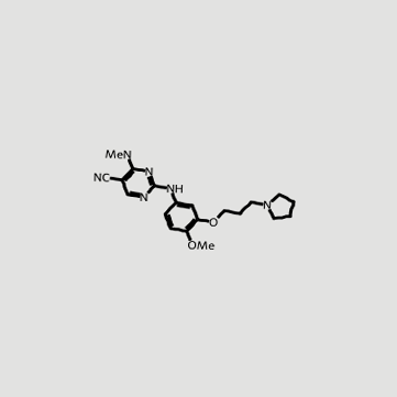 CNc1nc(Nc2ccc(OC)c(OCCCN3CCCC3)c2)ncc1C#N